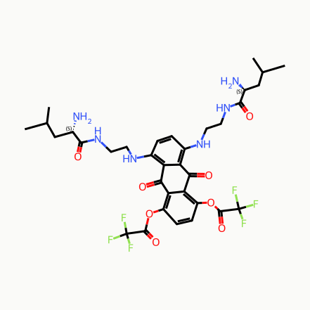 CC(C)C[C@H](N)C(=O)NCCNc1ccc(NCCNC(=O)[C@@H](N)CC(C)C)c2c1C(=O)c1c(OC(=O)C(F)(F)F)ccc(OC(=O)C(F)(F)F)c1C2=O